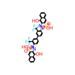 O=S(=O)(O)c1cc2ccccc2c(O)c1/N=N/c1ccc(-c2ccc(/N=N/c3c(S(=O)(=O)O)cc4ccccc4c3O)c(C(F)(F)F)c2)cc1C(F)(F)F